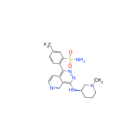 CN1CCC[C@@H](Nc2nnc(-c3ccc(C(F)(F)F)cc3S(N)(=O)=O)c3ccncc23)C1